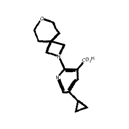 O=C(O)c1cc(C2CC2)cnc1N1CC2(CCOCC2)C1